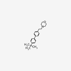 CC(C)(C)c1ccc(-c2ccc(CCN3CCOCC3)cc2)cc1